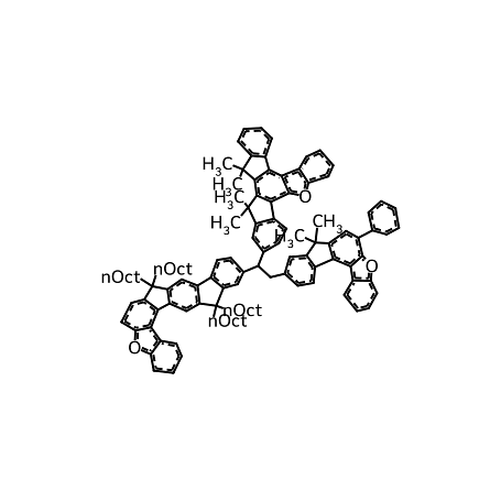 CCCCCCCCC1(CCCCCCCC)c2cc(C(Cc3ccc4c(c3)C(C)(C)c3cc(-c5ccccc5)c5oc6ccccc6c5c3-4)c3ccc4c(c3)C(C)(C)c3c5c(c6c(oc7ccccc76)c3-4)-c3ccccc3C5(C)C)ccc2-c2cc3c(cc21)-c1c(ccc2oc4ccccc4c12)C3(CCCCCCCC)CCCCCCCC